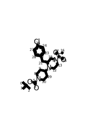 CC(C)(C)OC(=O)N1CCC(N2CCN(S(C)(=O)=O)CC2Cc2ccc(Cl)cc2)CC1